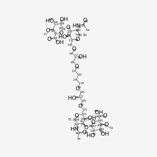 CO[C@@H]1C(C(=O)O)O[C@@H](OC2[C@H](O)C(COCC(O)COCCCCOCC(O)COCC3O[C@@H](C)C(NC(C)=O)[C@H](O[C@@H]4OC(C(=O)O)[C@@H](OC)[C@@H](O)C4O)[C@@H]3O)O[C@@H](C)[C@H]2NC(C)=O)C(O)C1O